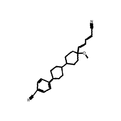 COC1(C=CC=CC#N)CCC(C2CCC(c3ccc(C#N)cc3)CC2)CC1